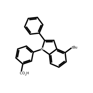 CC(C)(C)c1cccc2c1cc(-c1ccccc1)n2-c1cccc(C(=O)O)c1